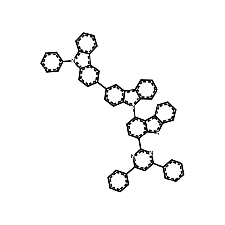 c1ccc(-c2cc(-c3ccccc3)nc(-c3ccc(-n4c5ccccc5c5cc(-c6ccc7c(c6)c6ccccc6n7-c6ccccc6)ccc54)c4c3sc3ccccc34)n2)cc1